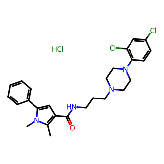 Cc1c(C(=O)NCCCN2CCN(c3ccc(Cl)cc3Cl)CC2)cc(-c2ccccc2)n1C.Cl